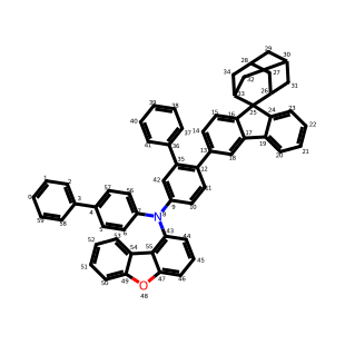 c1ccc(-c2ccc(N(c3ccc(-c4ccc5c(c4)-c4ccccc4C54C5CC6CC(C5)CC4C6)c(-c4ccccc4)c3)c3cccc4oc5ccccc5c34)cc2)cc1